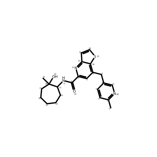 Cc1ccc(Cc2cc(C(=O)NC3CCCCCC3(C)O)nc3ccsc23)cn1